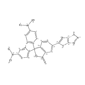 CCN(CC)c1ccc(C2(c3ccc(N(CC)CC)cc3)OC(=O)c3cc(-c4cc5snnc5s4)ccc32)cc1